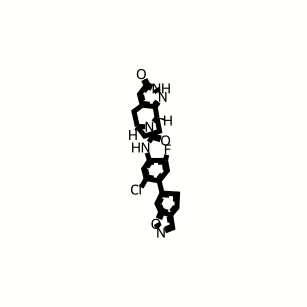 O=C(Nc1cc(Cl)c(-c2ccc3cnoc3c2)cc1F)N1[C@H]2CC[C@@H]1c1n[nH]c(=O)cc1C2